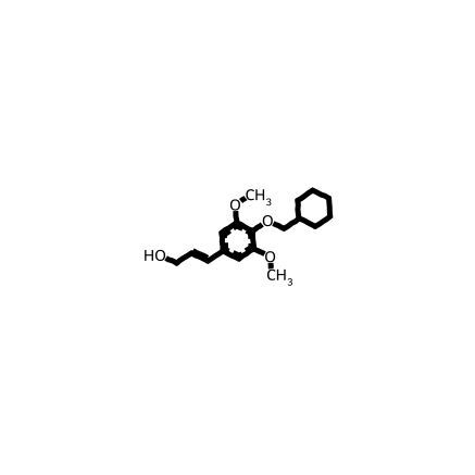 COc1cc(/C=C/CO)cc(OC)c1OCC1CCCCC1